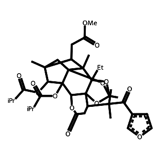 CCC12OC3(C)OC14C(C(C)(C)C(=O)c1ccoc1)CC(=O)OC4C1(OC(=O)C(C)C)C(OC(=O)C(C)C)C4(C)CC1(O3)C2(C)C4CC(=O)OC